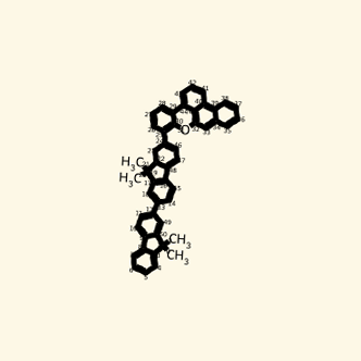 CC1(C)c2ccccc2-c2ccc(-c3ccc4c(c3)C(C)(C)C3CC(c5cccc6c5Oc5cc7ccccc7c7cccc-6c57)=CC=C43)cc21